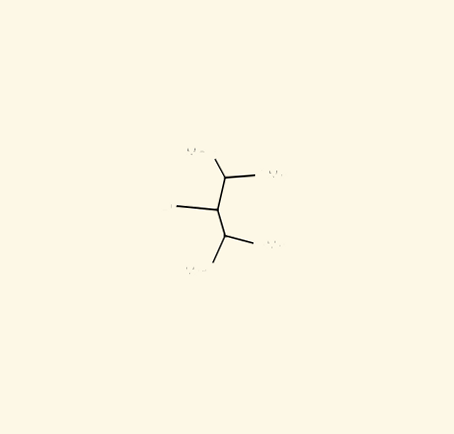 CCC(C(OC)OC)C(OC)OC